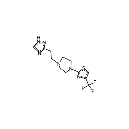 FC(F)(F)c1csc(N2CCN(CCc3nc[nH]n3)CC2)n1